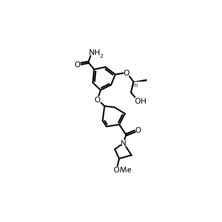 COC1CN(C(=O)C2=CCC(Oc3cc(O[C@@H](C)CO)cc(C(N)=O)c3)C=C2)C1